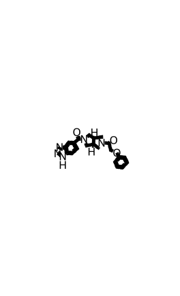 O=C(COc1ccccc1)N1C[C@@H]2CN(C(=O)c3ccc4[nH]nnc4c3)C[C@H]2C1